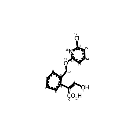 O=C(O)C(=CO)c1ccccc1COc1cccc(Cl)n1